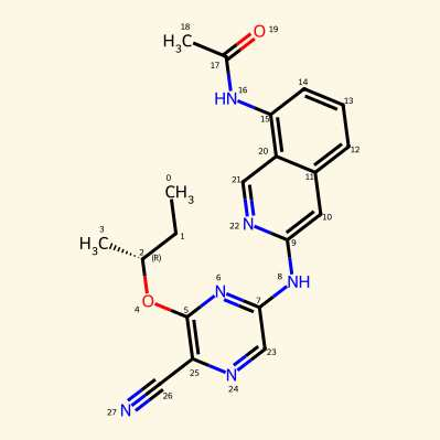 CC[C@@H](C)Oc1nc(Nc2cc3cccc(NC(C)=O)c3cn2)cnc1C#N